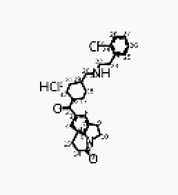 Cl.O=C(c1cc2c3c(c1)CCN3C(=O)CC2)C1CCC(CNCCc2ccccc2Cl)CC1